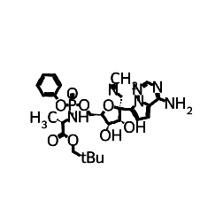 C=NC[C@@]1(c2ccc3c(N)ncnn23)O[C@H](CO[P@@](=O)(N[C@@H](C)C(=O)OCC(C)(C)C)Oc2ccccc2)[C@@H](O)[C@H]1O